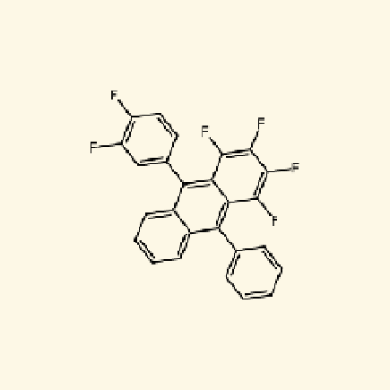 Fc1ccc(-c2c3ccccc3c(-c3ccccc3)c3c(F)c(F)c(F)c(F)c23)cc1F